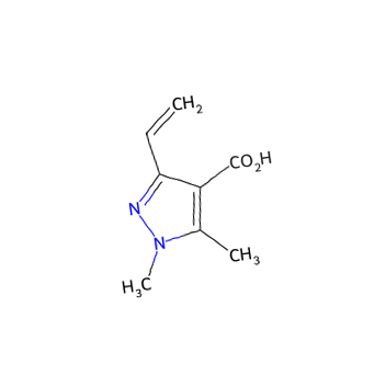 C=Cc1nn(C)c(C)c1C(=O)O